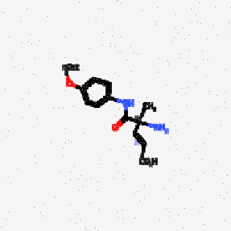 CCCCCCCCOc1ccc(NC(=O)[C@@](C)(N)/C=C/C(=O)O)cc1